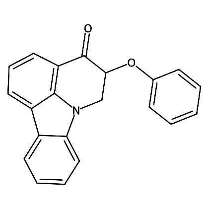 O=C1c2cccc3c4ccccc4n(c23)CC1Oc1ccccc1